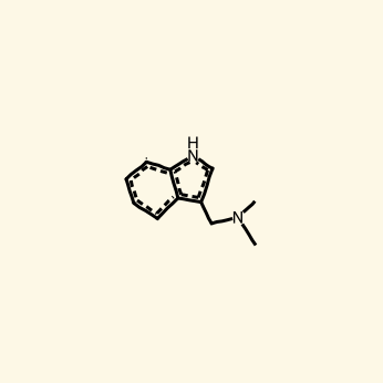 CN(C)Cc1c[nH]c2[c]cccc12